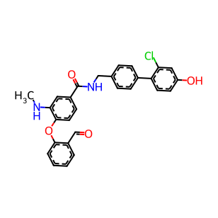 CNc1cc(C(=O)NCc2ccc(-c3ccc(O)cc3Cl)cc2)ccc1Oc1ccccc1C=O